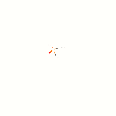 [CH]O[P](=O)([Na])[Na]